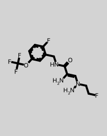 N/C(=C\N(N)CCF)C(=O)NCc1cc(OC(F)(F)F)ccc1F